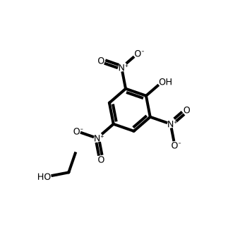 CCO.O=[N+]([O-])c1cc([N+](=O)[O-])c(O)c([N+](=O)[O-])c1